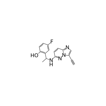 C#Cc1cnc2ccc(NC(C)c3cc(F)ccc3O)nn12